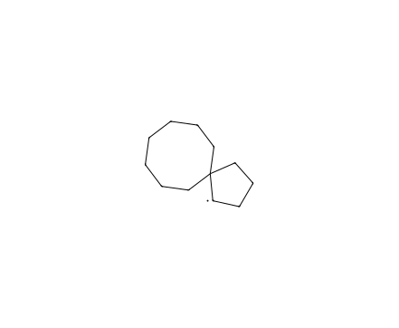 [CH]1CCCC12CCCCCCC2